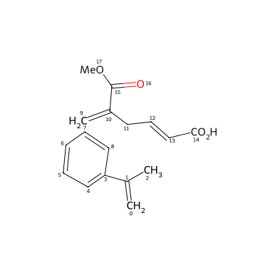 C=C(C)c1ccccc1.C=C(CC=CC(=O)O)C(=O)OC